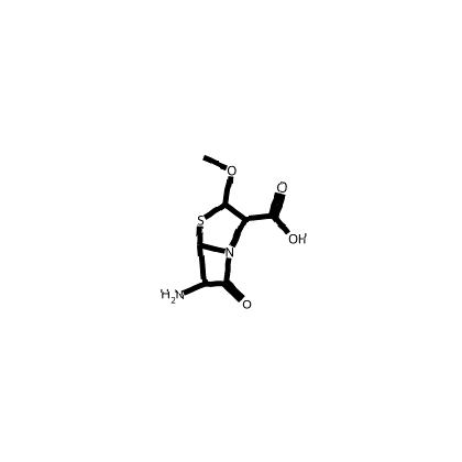 COC1SC2C(N)C(=O)N2C1C(=O)O